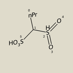 CCCC([SH](=O)=O)S(=O)(=O)O